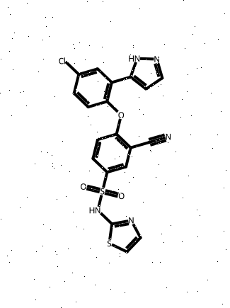 N#Cc1cc(S(=O)(=O)Nc2nccs2)ccc1Oc1ccc(Cl)cc1-c1ccn[nH]1